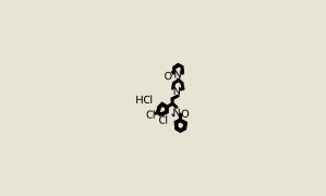 CN(CC(CCN1CCC(N2CCC=CC2=O)CC1)c1ccc(Cl)c(Cl)c1)C(=O)c1ccccc1.Cl